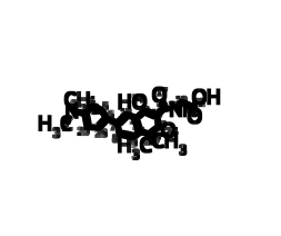 CN(C)c1ccc(-c2ccc3c(c2)C(O)=C(C(=O)NCC(=O)O)C(=O)C3(C)C)cc1